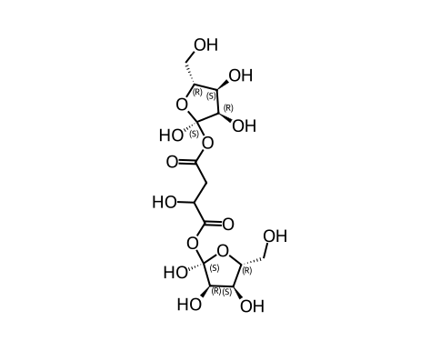 O=C(CC(O)C(=O)O[C@@]1(O)O[C@H](CO)[C@@H](O)[C@H]1O)O[C@@]1(O)O[C@H](CO)[C@@H](O)[C@H]1O